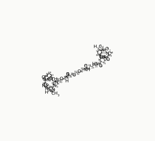 CCN(C(=O)Cn1cccc1C(=O)N[C@H]1CC[C@H](C(=O)NCCCCCC(=O)NCCOCCOCCC(=O)NCCOCCN2CCN(c3cc(Nc4ncc(C(=O)Nc5c(C)cccc5Cl)s4)nc(C)n3)CC2)CC1)c1cccc(C)c1